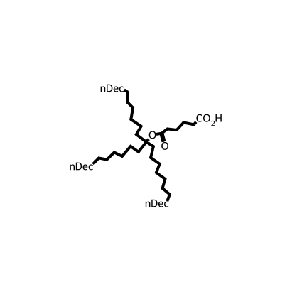 CCCCCCCCCCCCCCCCCC(CCCCCCCCCCCCCCCC)(CCCCCCCCCCCCCCCC)OC(=O)CCCCC(=O)O